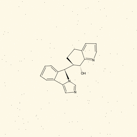 O[C@H]1c2ncccc2CC[C@@H]1[C@@H]1c2ccccc2-c2cncn21